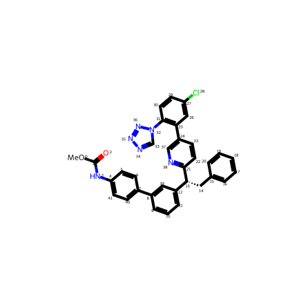 COC(=O)Nc1ccc(-c2cccc([C@@H](Cc3ccccc3)c3ccc(-c4cc(Cl)ccc4-n4cnnn4)cn3)c2)cc1